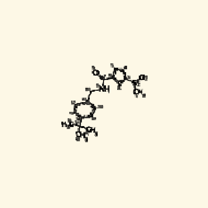 C[S+]([O-])c1ccc(C(=O)NCc2ccc(C(C)(C)C)cc2)s1